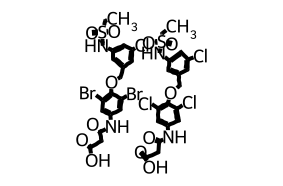 CCS(=O)(=O)Nc1cc(Cl)cc(COc2c(Br)cc(NC(=O)CC(=O)O)cc2Br)c1.CCS(=O)(=O)Nc1cc(Cl)cc(COc2c(Cl)cc(NC(=O)CC(=O)O)cc2Cl)c1